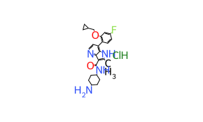 Cc1[nH]c2c(-c3ccc(F)cc3OCC3CC3)ccnc2c1C(=O)NC1CCC(N)CC1.Cl